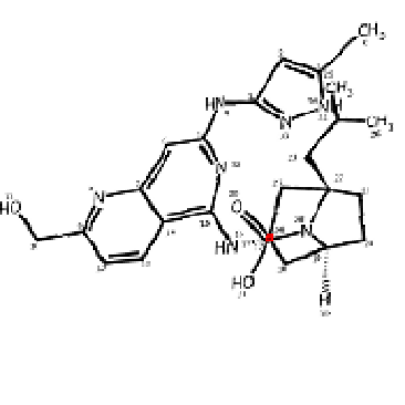 Cc1cc(Nc2cc3nc(CO)ccc3c(N[C@H]3C[C@@H]4CC[C@@](CC(C)C)(C3)N4C(=O)O)n2)n[nH]1